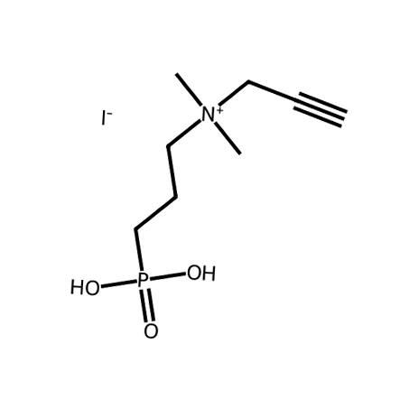 C#CC[N+](C)(C)CCCP(=O)(O)O.[I-]